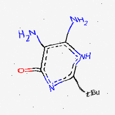 CC(C)(C)c1nc(=O)c(N)c(N)[nH]1